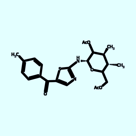 CC(=O)OCC1O[C@H](Nc2ncc(C(=O)c3ccc(C)cc3)s2)C(OC(C)=O)[C@@H](C)[C@@H]1C